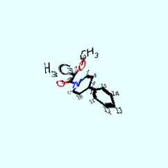 COC(C)C(=O)N1CCC(c2ccccc2)CC1